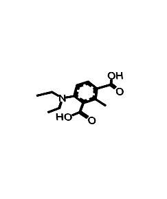 CCN(CC)c1ccc(C(=O)O)c(C)c1C(=O)O